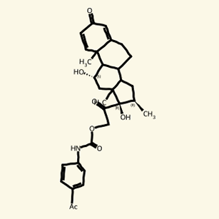 CC(=O)c1ccc(NC(=O)OCC(=O)[C@@]2(O)[C@H](C)CC3C4CCC5=CC(=O)C=CC5(C)C4[C@@H](O)CC32C)cc1